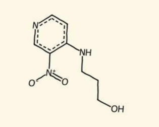 O=[N+]([O-])c1cnccc1NCCCO